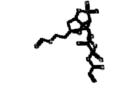 C=CC(=O)OCC(=O)OC1C2C3(CCOC=O)OC1(CCOC=O)CC3OS2(=O)=O